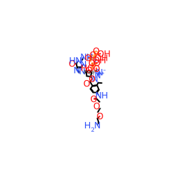 CC(N=[N+]=[N-])c1cc(NC(=O)COCCOCCN)ccc1C(=O)OC1C[C@H](n2cnc3c(=O)[nH]c(N)nc32)O[C@@H]1COP(=O)(O)OP(=O)(O)OP(=O)(O)O